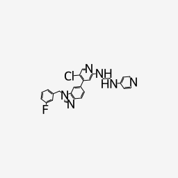 Fc1cccc(Cn2cnc3ccc(-c4cc(NCCNc5ccncc5)ncc4Cl)cc32)c1